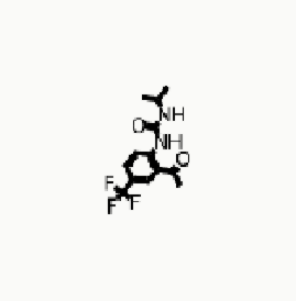 CC(=O)c1cc(C(F)(F)F)ccc1NC(=O)NC(C)C